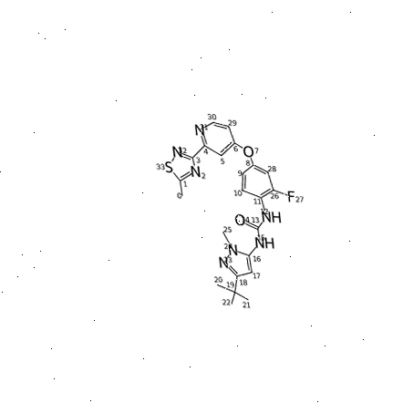 Cc1nc(-c2cc(Oc3ccc(NC(=O)Nc4cc(C(C)(C)C)nn4C)c(F)c3)ccn2)ns1